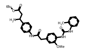 COc1cc(CC(=O)Nc2ccc(C(N)CC(=O)OC(C)(C)C)cc2)ccc1NC(=O)Nc1ccccc1C